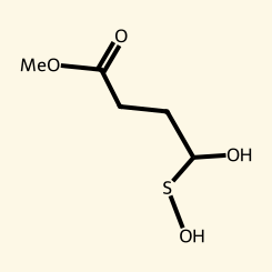 COC(=O)CCC(O)SO